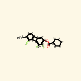 CCCc1ccc2c(c1F)-c1c-2cc(OC(=O)C2CCCCC2)c(F)c1F